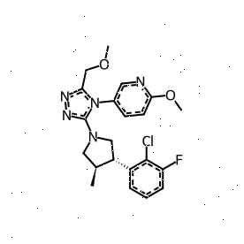 COCc1nnc(N2C[C@H](c3cccc(F)c3Cl)[C@@H](C)C2)n1-c1ccc(OC)nc1